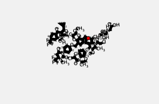 CC1COc2ccccc2N1C(=O)C(Cl)Cl.CCc1ccc(COc2ccc(-n3c(=O)cc(C(F)(F)F)n(C)c3=O)cc2)c(OC(C)C(=O)OC)c1.CCc1cccc(C)c1N(C(=O)CCl)C(C)COC.CS(=O)(=O)c1cc(C(F)(F)F)ccc1C(=O)c1cnoc1C1CC1.O=C(O)CNCP(=O)(O)O